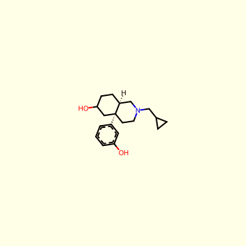 Oc1cccc([C@@]23CCN(CC4CC4)C[C@@H]2CCC(O)C3)c1